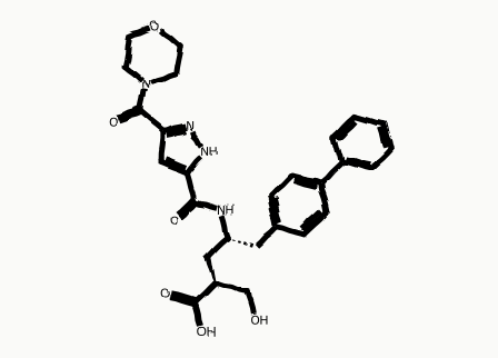 O=C(N[C@H](Cc1ccc(-c2ccccc2)cc1)C[C@@H](CO)C(=O)O)c1cc(C(=O)N2CCOCC2)n[nH]1